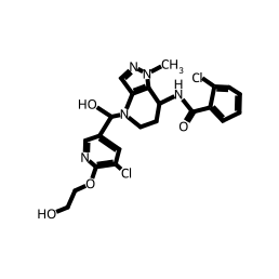 Cn1ncc2c1C(NC(=O)c1ccccc1Cl)CCN2C(O)c1cnc(OCCO)c(Cl)c1